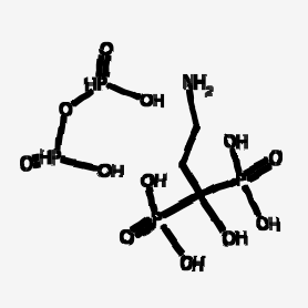 NCCC(O)(P(=O)(O)O)P(=O)(O)O.O=[PH](O)O[PH](=O)O